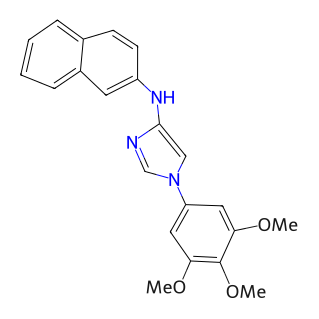 COc1cc(-n2cnc(Nc3ccc4ccccc4c3)c2)cc(OC)c1OC